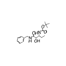 CCC(NC(=O)OC(C)(C)C)C(O)C(=O)NCc1ccccc1